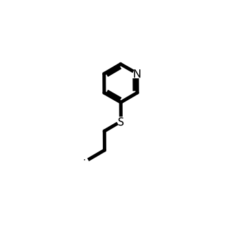 [CH2]CCSc1cccnc1